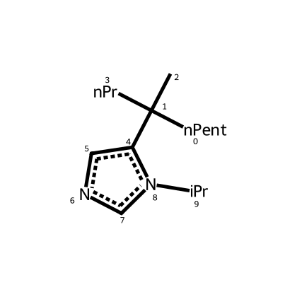 CCCCCC(C)(CCC)c1cncn1C(C)C